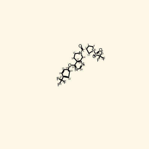 O=C([C@@H]1CCN(S(=O)(=O)C(F)(F)F)C1)N1CCc2c(ncnc2Oc2ccc(C(F)(F)F)cc2)C1